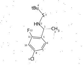 C[C@@H](NSC(C)(C)C)c1ccc(Cl)cc1F